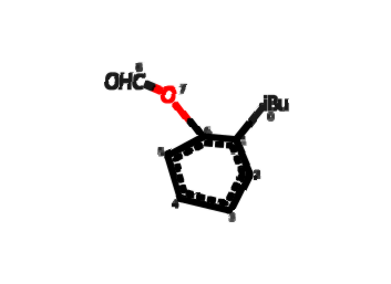 CCC(C)c1ccccc1OC=O